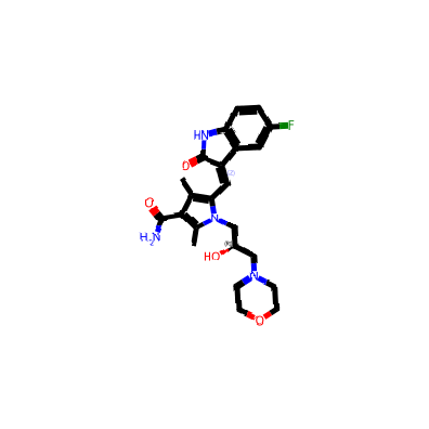 Cc1c(C(N)=O)c(C)n(C[C@H](O)CN2CCOCC2)c1/C=C1\C(=O)Nc2ccc(F)cc21